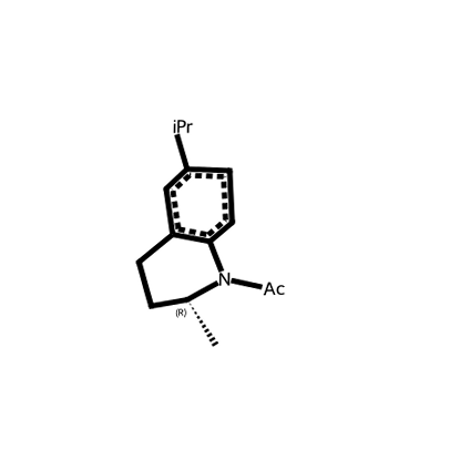 CC(=O)N1c2ccc(C(C)C)cc2CC[C@H]1C